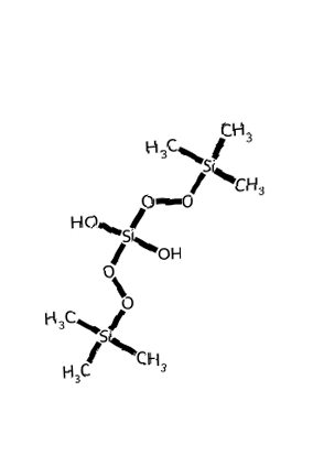 C[Si](C)(C)OO[Si](O)(O)OO[Si](C)(C)C